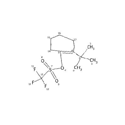 CC(C)(C)C1=C(OS(=O)(=O)C(F)(F)F)CCCC1